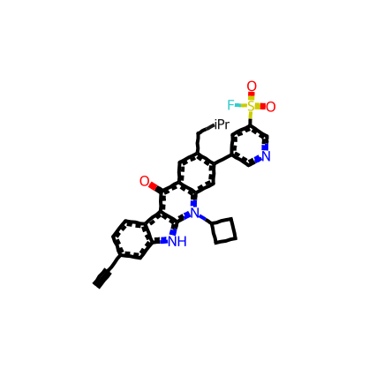 C#Cc1ccc2c(c1)[nH]c1c2c(=O)c2cc(CC(C)C)c(-c3cncc(S(=O)(=O)F)c3)cc2n1C1CCC1